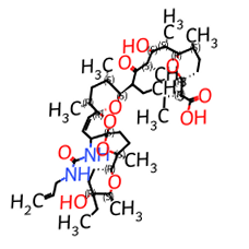 C=CCNC(=O)NC1C=C[C@]2(O[C@H](C(CC)C(=O)[C@@H](C)[C@@H](O)[C@H](C)[C@@H]3O[C@@H]([C@@H](CC)C(=O)O)CC[C@@H]3C)[C@@H](C)C[C@H]2C)O[C@@]12CC[C@@](C)([C@H]1CC[C@](O)(CC)[C@H](C)O1)O2